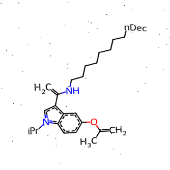 C=C(C)Oc1ccc2c(c1)c(C(=C)NCCCCCCCCCCCCCCCCCC)cn2C(C)C